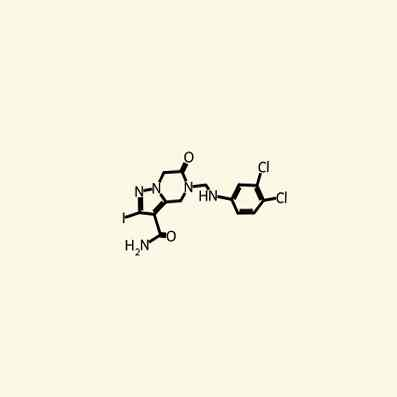 NC(=O)c1c(I)nn2c1CN(CNc1ccc(Cl)c(Cl)c1)C(=O)C2